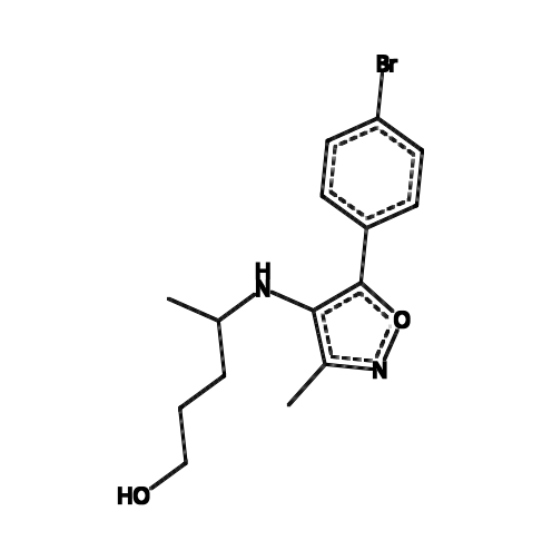 Cc1noc(-c2ccc(Br)cc2)c1NC(C)CCCO